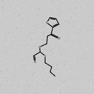 CCCCSC(C=O)OCCC(=O)c1cccs1